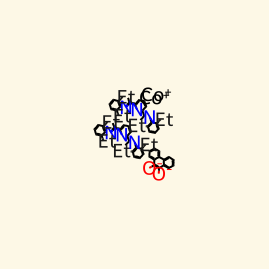 CCc1cccc(CC)c1N=C(C)c1cccc(C(C)=Nc2c(CC)cccc2CC)n1.CCc1cccc(CC)c1N=C(C)c1cccc(C(C)=Nc2c(CC)cccc2CC)n1.[Co+].[Co+].[O-]c1c([O-])c2ccccc2c2ccccc12